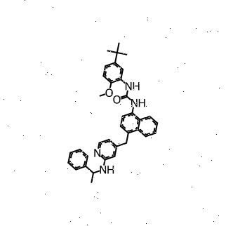 COc1ccc(C(C)(C)C)cc1NC(=O)Nc1ccc(Cc2ccnc(NC(C)c3ccccc3)c2)c2ccccc12